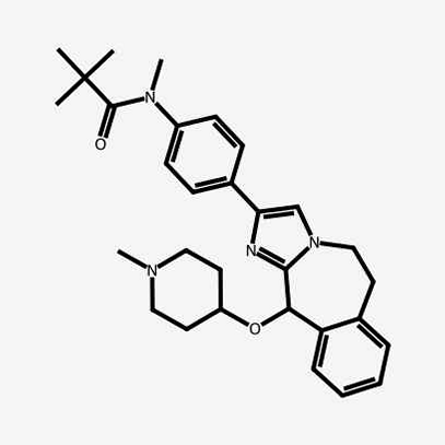 CN1CCC(OC2c3ccccc3CCn3cc(-c4ccc(N(C)C(=O)C(C)(C)C)cc4)nc32)CC1